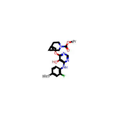 CSc1ccc(Nc2ncnc(OCC34CCN(C(=O)OC(C)C)CC3C4)c2O)c(F)c1